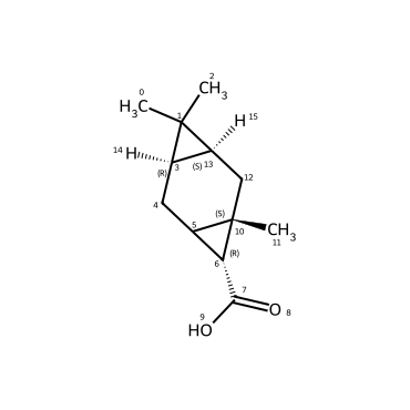 CC1(C)[C@@H]2CC3[C@@H](C(=O)O)[C@@]3(C)C[C@@H]21